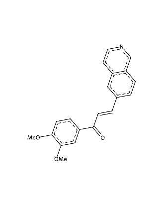 COc1ccc(C(=O)C=Cc2ccc3cnccc3c2)cc1OC